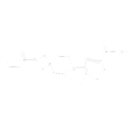 COC(=O)c1ccc(C(F)(F)F)c(N2CCC3(CC2)CN(C(=O)OC(C)(C)C)C3)c1